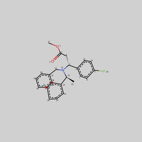 COC(=O)C[C@H](c1ccc(F)cc1)N(Cc1ccccc1)[C@@H](C)c1ccccc1